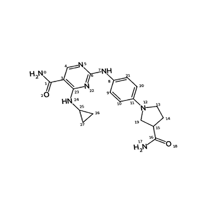 NC(=O)c1cnc(Nc2ccc(N3CCC(C(N)=O)C3)cc2)nc1NC1CC1